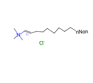 CCCCCCCCCCCCCCCC/C=C/[N+](C)(C)C.[Cl-]